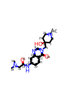 CC(=O)N1CCC(O)(Cn2cnc3cc(NC(=O)CN(C)C)ccc3c2=O)CC1